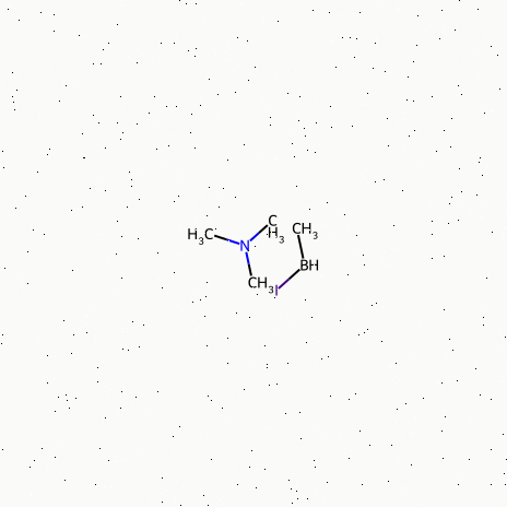 CBI.CN(C)C